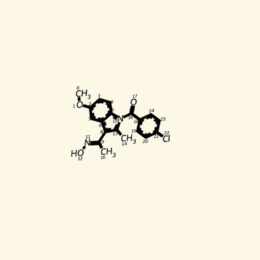 COc1ccc2c(c1)c(C(C)=NO)c(C)n2C(=O)c1ccc(Cl)cc1